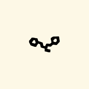 C=C[C](C=Cc1ccccc1)C=Cc1ccccc1